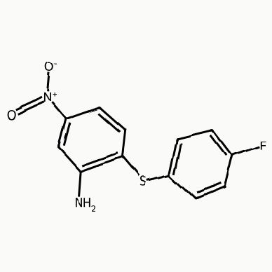 Nc1cc([N+](=O)[O-])ccc1Sc1ccc(F)cc1